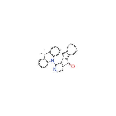 CC1(C)c2ccccc2N(c2nccc3c2-c2cc4cccccc-4c2C3=O)c2ccccc21